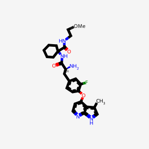 COCCNC(=O)C1(NC(=O)[C@@H](N)Cc2ccc(Oc3ccnc4[nH]cc(C)c34)c(F)c2)CCCCC1